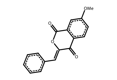 COc1ccc2c(c1)C(=O)OC(=Cc1ccccc1)C2=O